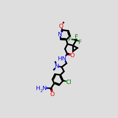 COc1ccc(C(CC(=O)NCC(Cc2ccc(C(N)=O)cc2Cl)N(C)C)C2(C(F)(F)F)CC2)cn1